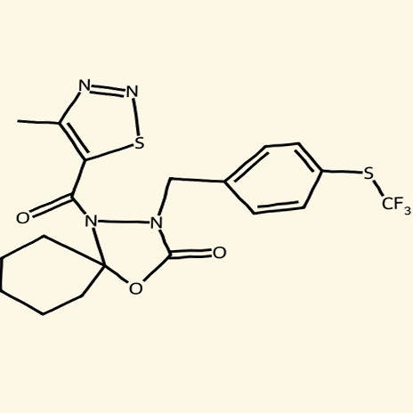 Cc1nnsc1C(=O)N1N(Cc2ccc(SC(F)(F)F)cc2)C(=O)OC12CCCCC2